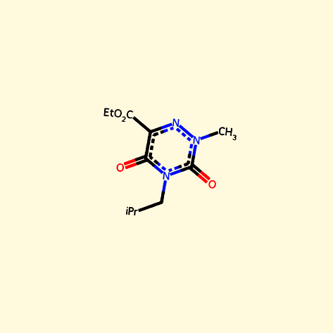 CCOC(=O)c1nn(C)c(=O)n(CC(C)C)c1=O